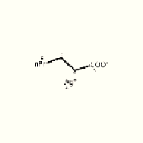 CCCCCC(=O)[O-].[Ag+]